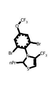 CCCC1SC=C(C(F)(F)F)N1c1c(Br)cc(OC(F)(F)F)cc1Br